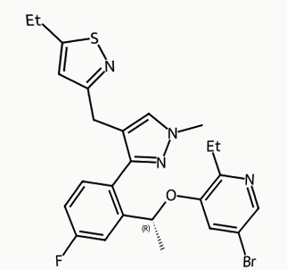 CCc1cc(Cc2cn(C)nc2-c2ccc(F)cc2[C@@H](C)Oc2cc(Br)cnc2CC)ns1